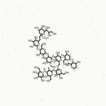 CC1C(O[C@@H]2C(O)[C@H](O)C(CO)O[C@@H]2OCC2O[C@@H](O[C@@H]3C(CO)O[C@@H](O[C@@H]4C(CO)O[C@@H](C)[C@@H](C)C4O)[C@@H](C)C3O)[C@H](O)C(O[C@H]3O[C@H](CO)[C@@H](O)C(O)C3O[C@@H]3OC(CO)[C@@H](O[C@@H]4OC(CC[C@]5(C(=O)O)C[C@@H](O)[C@@H](N)C([C@@H](O)C(O)CO)O5)[C@H](O)C(O)[C@@H]4O)C(O)[C@@H]3C)[C@@H]2O)OC(CO)[C@@H](O[C@@H]2OC(CO)[C@H](O)C(O)[C@@H]2O)[C@H]1O